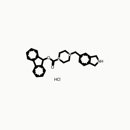 Cl.O=C(OC1c2ccccc2-c2ccccc21)N1CCN(Cc2ccc3c(c2)CNC3)CC1